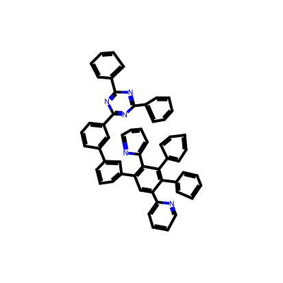 c1ccc(-c2nc(-c3ccccc3)nc(-c3cccc(-c4cccc(-c5cc(-c6ccccn6)c(-c6ccccc6)c(-c6ccccc6)c5-c5ccccn5)c4)c3)n2)cc1